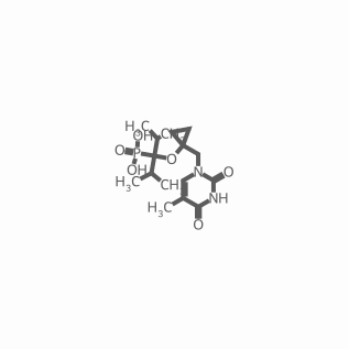 Cc1cn(CC2(OC(C(C)C)(C(C)C)P(=O)(O)O)CC2)c(=O)[nH]c1=O